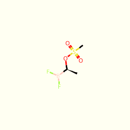 C[C@H](OS(C)(=O)=O)B(F)F